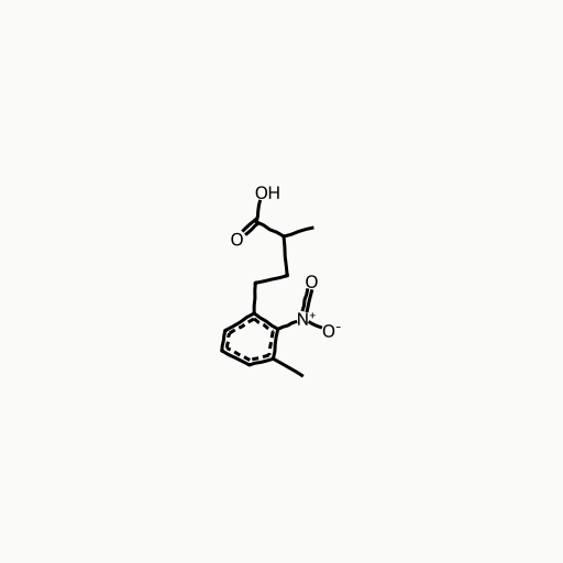 Cc1cccc(CCC(C)C(=O)O)c1[N+](=O)[O-]